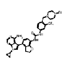 CCN1CCN(Cc2ccc(NC(=O)Nc3ccc(-c4cn(C5CC5)c5ncnc(N)c45)c4c3OCC4)cc2C(F)(F)F)CC1